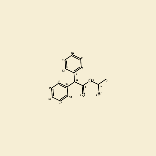 CC(Br)OC(=O)C(c1ccccc1)c1ccccc1